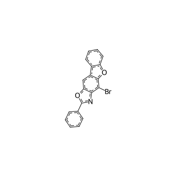 Brc1c2nc(-c3ccccc3)oc2cc2c1oc1ccccc12